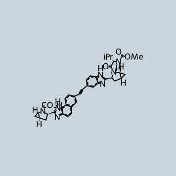 COC(=O)N[C@H](C(=O)N1[C@@H]2C[C@H]2C[C@H]1c1nc2cc(C#Cc3ccc4c(ccc5nc([C@H]6C[C@H]7C[C@H]7N6C(=O)O)[nH]c54)c3)ccc2[nH]1)C(C)C